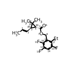 CC=C[C@@H]1[C@@H](C(=O)OCc2c(F)c(F)cc(F)c2CC)C1(C)C